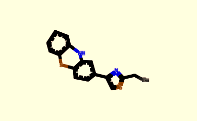 C[CH]C(C)Cc1nc(-c2ccc3c(c2)Nc2ccccc2S3)cs1